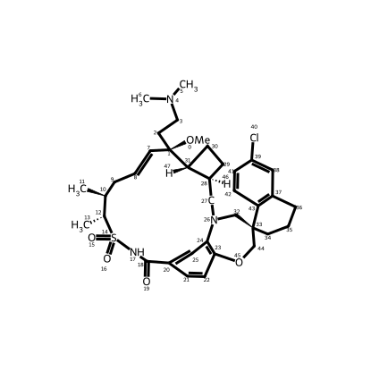 CO[C@]1(CCN(C)C)/C=C/C[C@H](C)[C@@H](C)S(=O)(=O)NC(=O)c2ccc3c(c2)N(C[C@@H]2CC[C@H]21)C[C@@]1(CCCc2cc(Cl)ccc21)CO3